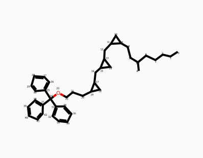 CCCCCC(C)CCC1CC1CC1CC1CC1CC1CCCOC(c1ccccc1)(c1ccccc1)c1ccccc1